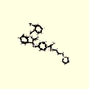 O=C(NCCCN1CCCC1)c1ccc(/N=C2\C(=O)N(Cc3ccccc3F)c3ccccc32)cc1